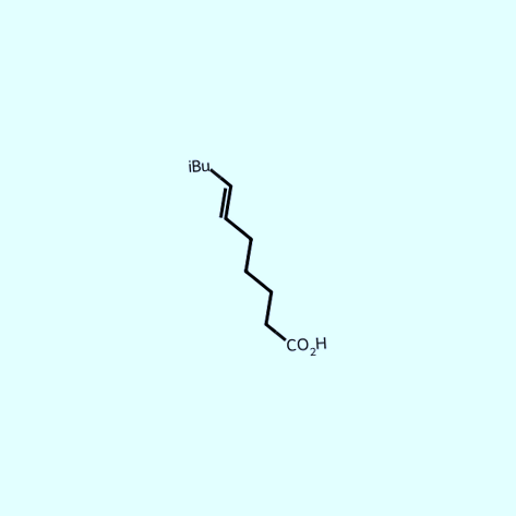 CCC(C)C=CCCCCC(=O)O